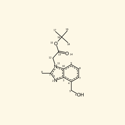 Cc1nc2c(CO)cccc2n1CC(=O)OC(C)(C)C